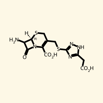 NC1C(=O)N2C(C(=O)O)=C(CSc3n[nH]c(CC(=O)O)n3)CS[C@H]12